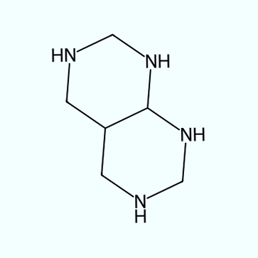 C1NCC2CNCNC2N1